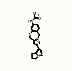 CC(=O)Nc1ccc2c(c1)OCc1cc(-c3cnn4c3CCC4)nn1C2